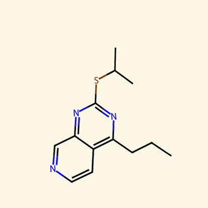 CCCc1nc(SC(C)C)nc2cnccc12